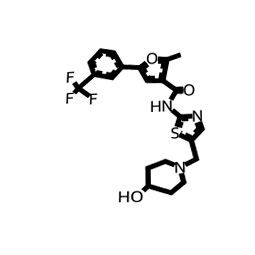 Cc1oc(-c2cccc(C(F)(F)F)c2)cc1C(=O)Nc1ncc(CN2CCC(O)CC2)s1